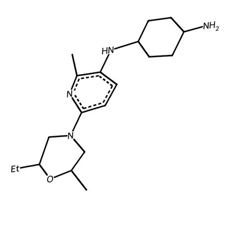 CCC1CN(c2ccc(NC3CCC(N)CC3)c(C)n2)CC(C)O1